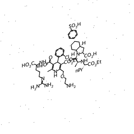 CCC[C@H](N[C@@H](C)C(=O)N1[C@H](C(=O)O)C[C@@H]2CCCC[C@@H]21)C(=O)OCC.CCOC(=O)C1=C(COCCN)NC(C)=C(C(=O)OC)C1c1ccccc1Cl.NC(N)=NCCC[C@H](N)C(=O)O.O=S(=O)(O)c1ccccc1